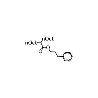 CCCCCCCCC(CCCCCCCC)C(=O)OCCCc1ccccc1